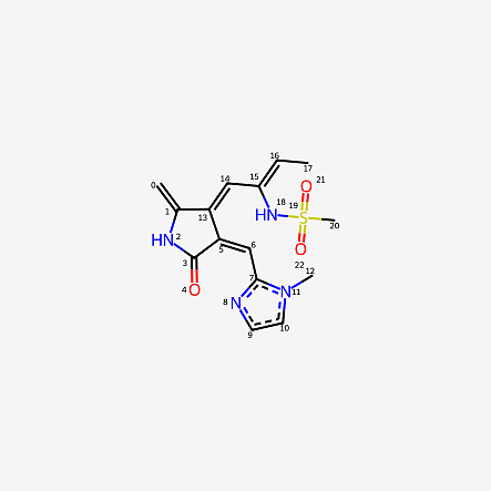 C=C1NC(=O)C(=C\c2nccn2C)/C1=C\C(=C\C)NS(C)(=O)=O